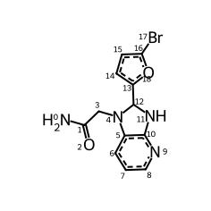 NC(=O)CN1c2cccnc2NC1c1ccc(Br)o1